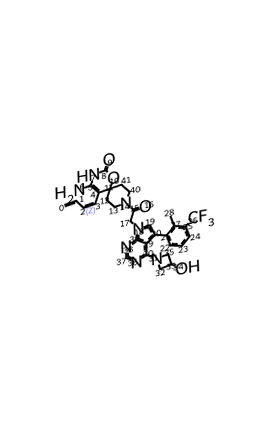 C=C/C=C\C1=C(N)NC(=O)OC12CCN(C(=O)Cn1cc(-c3cccc(C(F)(F)F)c3C)c3c(N4CC(O)C4)ncnc31)CC2